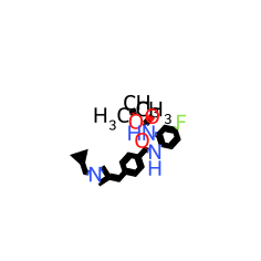 CC(C)(C)OC(=O)Nc1cc(F)ccc1NC(=O)c1ccc(C=C2CN(CC3CC3)C2)cc1